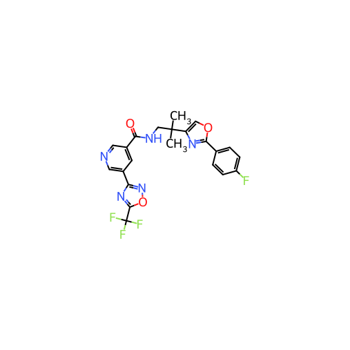 CC(C)(CNC(=O)c1cncc(-c2noc(C(F)(F)F)n2)c1)c1coc(-c2ccc(F)cc2)n1